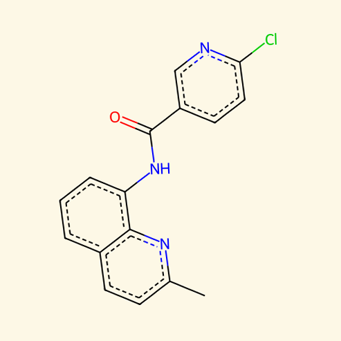 Cc1ccc2cccc(NC(=O)c3ccc(Cl)nc3)c2n1